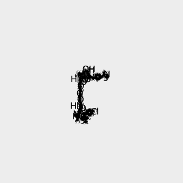 Cc1ncsc1-c1ccc(CNC(=O)C2C[C@@H](O)CN2C(=O)C(NC(=O)COCCOCCOCCNC(=O)CC2N=C(c3ccc(Cl)cc3)c3c(sc(C)c3C)-n3c(C)nnc32)C(C)(C)C)cc1